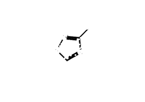 ClC1=[N+]NC=N1